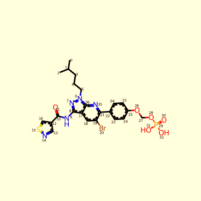 CC(C)CCCn1nc(NC(=O)c2cnsc2)c2cc(Br)c(-c3ccc(OCOP(=O)(O)O)cc3)nc21